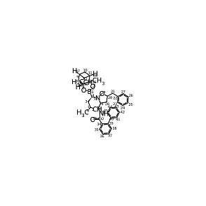 CC(C)C[C@@H](B1O[C@@H]2C[C@@H]3C[C@@H](C3(C)C)[C@]2(C)O1)N1OC(Cc2ccccc2)CC1CNC(=O)c1ccccc1-c1ccccc1